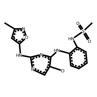 Cc1cc(Nc2ncc(Cl)c(Nc3ccccc3NS(C)(=O)=O)n2)on1